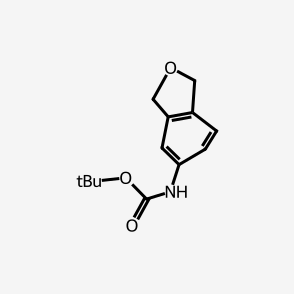 CC(C)(C)OC(=O)Nc1ccc2c(c1)COC2